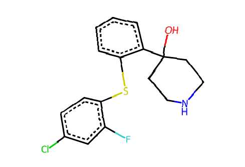 OC1(c2ccccc2Sc2ccc(Cl)cc2F)CCNCC1